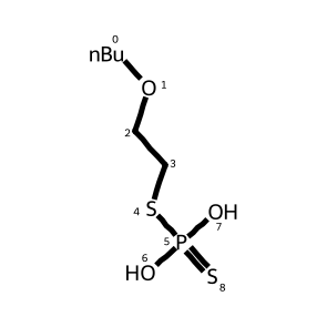 CCCCOCCSP(O)(O)=S